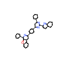 c1ccc(-c2cc(-c3ccc(-c4cc5c(oc6ccccc65)c(-c5ccccc5)n4)cc3)nc(-c3ccc4ccccc4n3)n2)cc1